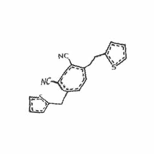 N#Cc1c(Cc2cccs2)ccc(Cc2cccs2)c1C#N